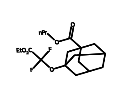 CCCOC(=O)C12CC3CC(CC(OC(F)(F)C(=O)OCC)(C3)C1)C2